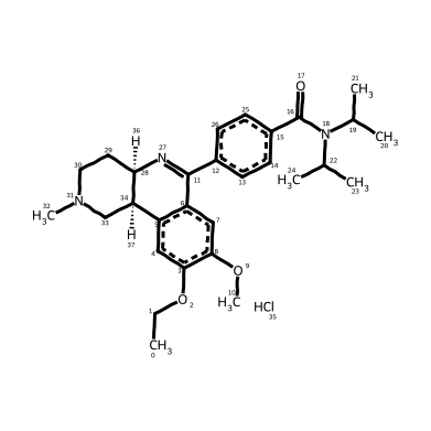 CCOc1cc2c(cc1OC)C(c1ccc(C(=O)N(C(C)C)C(C)C)cc1)=N[C@@H]1CCN(C)C[C@H]21.Cl